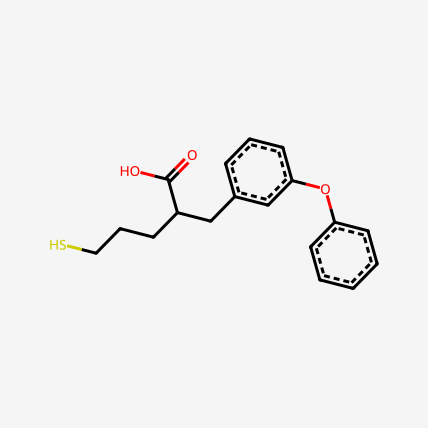 O=C(O)C(CCCS)Cc1cccc(Oc2ccccc2)c1